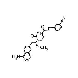 CO[C@@H](Cc1ccc2c(N)ncnc2c1)N1CCN(C(=O)C=Cc2cccc(C#N)c2)CC1=O